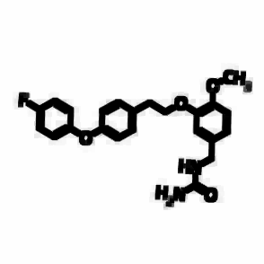 COc1ccc(CNC(N)=O)cc1OCCc1ccc(Oc2ccc(F)cc2)cc1